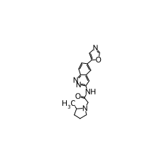 CC1CCCN1CC(=O)Nc1cc2cc(-c3cnco3)ccc2nn1